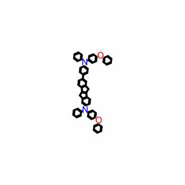 c1ccc(Oc2ccc(N(c3ccccc3)c3ccc(-c4ccc5c(c4)CC4=C5Cc5cc(N(c6ccccc6)c6ccc(Oc7ccccc7)cc6)ccc54)cc3)cc2)cc1